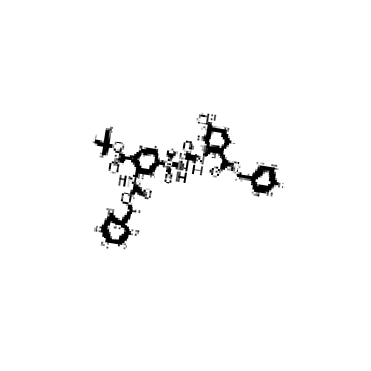 CC(C)(C)OC(=O)c1ccc(S(=O)(=O)NC(=O)Nc2cc(Cl)ccc2C(=O)OCc2ccccc2)cc1NC(=O)OCc1ccccc1